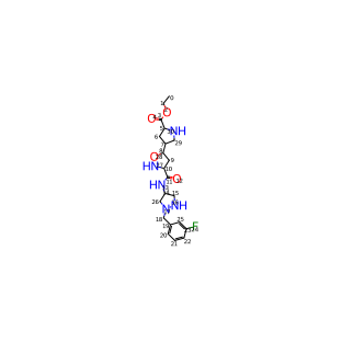 CCOC(=O)C1CC(C2CC(C(=O)NC3CNN(Cc4cccc(F)c4)C3)NO2)CN1